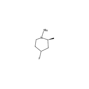 C[C@H]1CC(F)CCN1C(C)(C)C